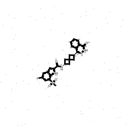 CS(=O)(=O)c1cc(F)cc2cc(C(=O)N[C@H]3CC4(C3)C[C@H](c3n[nH]c(=O)c5ccccc53)C4)[nH]c12